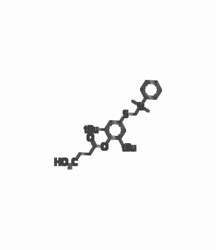 CC(C)(C)c1cc(SC[Si](C)(C)c2ccccc2)cc(C(C)(C)C)c1OC(=O)CCC(=O)O